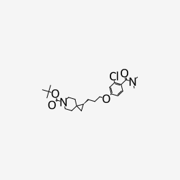 CN(C)C(=O)c1ccc(OCCC[C@H]2CC23CCN(C(=O)OC(C)(C)C)CC3)cc1Cl